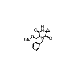 CC(C)(C)OCC1C(=O)NC2(CC2)C(=O)N1Cc1ccccc1